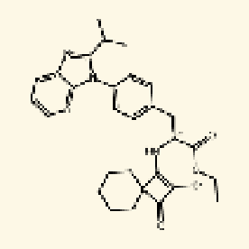 CCOC(=O)[C@H](Cc1ccc(-n2c(C(C)C)nc3cccnc32)cc1)NC1=C(Br)C(=O)C12CCCCC2